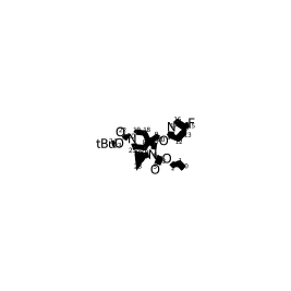 C=CCOC(=O)N(CC1(COc2ccc(F)cn2)CCN(C(=O)OC(C)(C)C)CC1)C1CC1